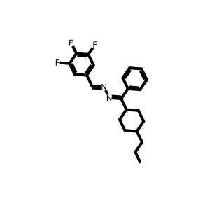 CCCC1CCC(C(=NN=Cc2cc(F)c(F)c(F)c2)c2ccccc2)CC1